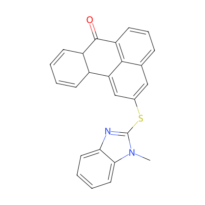 Cn1c(Sc2cc3c4c(cccc4c2)C(=O)C2C=CC=CC32)nc2ccccc21